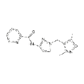 Cc1noc(C)c1Cn1ccc(NC(=O)c2ccccn2)n1